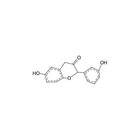 O=C1Cc2cc(O)ccc2OC1c1cccc(O)c1